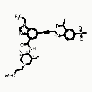 COCCN1C[C@H](C)[C@@H](NC(=O)c2cc(C#CCNc3ccc(S(C)(=O)=O)cc3C(F)F)cc3c2ncn3CC(F)(F)F)[C@@H](F)C1